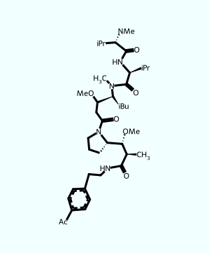 CC[C@H](C)[C@@H](C(CC(=O)N1CCC[C@H]1[C@H](OC)[C@@H](C)C(=O)NCCc1ccc(C(C)=O)cc1)OC)N(C)C(=O)[C@@H](NC(=O)[C@@H](NC)C(C)C)C(C)C